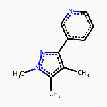 Cc1c(-c2cccnc2)nn(C)c1C